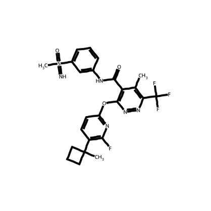 Cc1c(C(F)(F)F)nnc(Oc2ccc(C3(C)CCC3)c(F)n2)c1C(=O)Nc1cccc(S(C)(=N)=O)c1